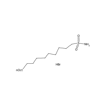 Br.CCCCCCCCCCCCCCCCCS(N)(=O)=O